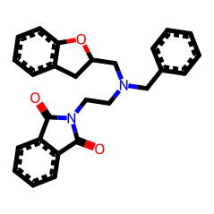 O=C1c2ccccc2C(=O)N1CCN(Cc1ccccc1)CC1Cc2ccccc2O1